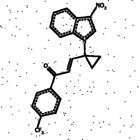 O=C(/C=C/C1(n2cc([N+](=O)[O-])c3ccccc32)CC1)c1ccc(C(F)(F)F)cc1